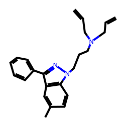 C=CCN(CC=C)CCCn1nc(-c2ccccc2)c2cc(C)ccc21